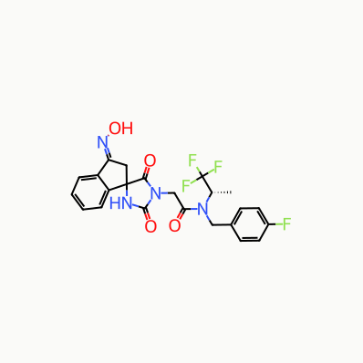 C[C@H](N(Cc1ccc(F)cc1)C(=O)CN1C(=O)NC2(C/C(=N\O)c3ccccc32)C1=O)C(F)(F)F